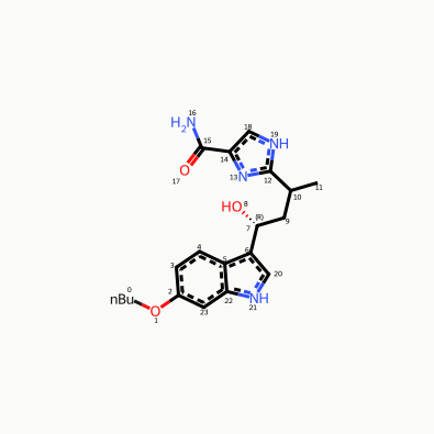 CCCCOc1ccc2c([C@H](O)CC(C)c3nc(C(N)=O)c[nH]3)c[nH]c2c1